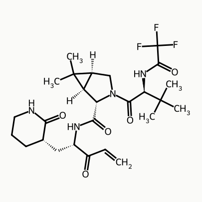 C=CC(=O)[C@H](C[C@@H]1CCCNC1=O)NC(=O)[C@@H]1[C@@H]2[C@H](CN1C(=O)[C@@H](NC(=O)C(F)(F)F)C(C)(C)C)C2(C)C